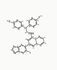 Cc1cc2nccn2cc1C1=NC2C=CC=CC2C(NCC(c2ccc(F)cc2)c2ccc(F)cc2)=N1